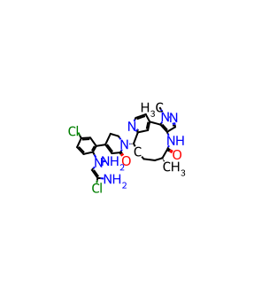 C[C@@H]1CCC[C@H](N2CCC(c3cc(Cl)ccc3N(N)/C=C(\N)Cl)=CC2=O)c2cc(ccn2)-c2c(cnn2C)NC1=O